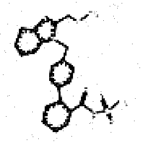 COCc1nc2ccccc2n1Cc1ccc(-c2ccccc2C(=O)NS(C)(=O)=O)cc1